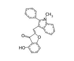 Cn1c(-c2ccccc2)c(/C=C2\Oc3cccc(O)c3C2=O)c2ccccc21